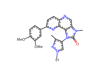 CCn1cc(-n2c(=O)n(C)c3cnc4ccc(-c5ccc(OC)c(OC)c5)nc4c32)c(C)n1